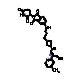 Cc1ccnc(/C(C=N)=C/NC2CC(CCCNc3ccc4c(c3)C(=O)N(C3CCC(=O)NC3=O)C4=O)C2)c1